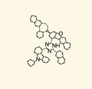 c1ccc(-n2c3ccccc3c3c(C4=NC(c5ccc6ccccc6c5)NC(c5cc([C@@H]6CCc7cc8ccccc8cc7-c7ccccc76)cc6oc7cc8ccccc8cc7c56)=N4)cccc32)cc1